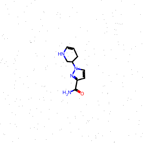 NC(=O)c1ccn(C2CC=CNC2)n1